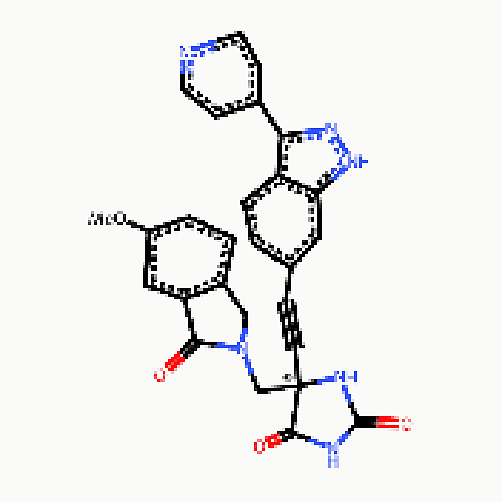 COc1ccc2c(c1)C(=O)N(C[C@@]1(C#Cc3ccc4c(-c5ccncc5)n[nH]c4c3)NC(=O)NC1=O)C2